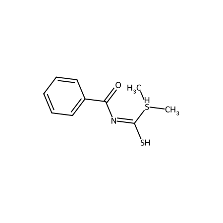 C[SH](C)C(S)=NC(=O)c1ccccc1